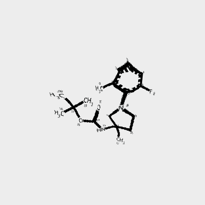 Cc1cccc(F)c1N1CCC(C)(NC(=O)OC(C)(C)C)C1